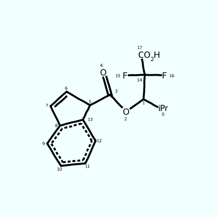 CC(C)C(OC(=O)C1C=Cc2ccccc21)C(F)(F)C(=O)O